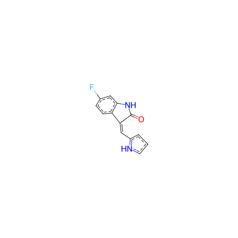 O=C1Nc2cc(F)ccc2C1=Cc1ccc[nH]1